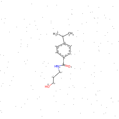 CC(C)c1ccc(C(=O)NCCCO)cc1